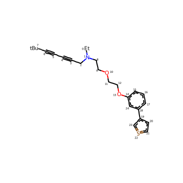 CCN(CC#CC#CC(C)(C)C)CCOCCOc1cccc(-c2ccsc2)c1